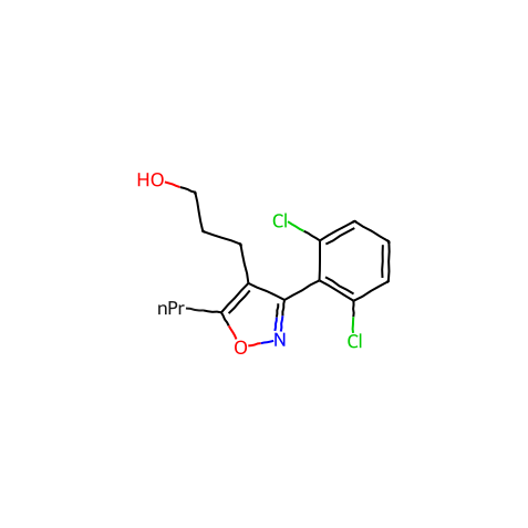 CCCc1onc(-c2c(Cl)cccc2Cl)c1CCCO